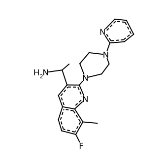 Cc1c(F)ccc2cc(C(C)N)c(N3CCN(c4ccccn4)CC3)nc12